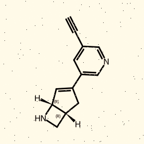 C#Cc1cncc(C2=C[C@H]3NC[C@H]3C2)c1